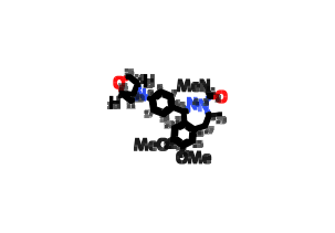 CNC(=O)N1N=C(c2ccc(N3C[C@@H]4C[C@H]3CO4)cc2)c2cc(OC)c(OC)cc2C[C@@H]1C